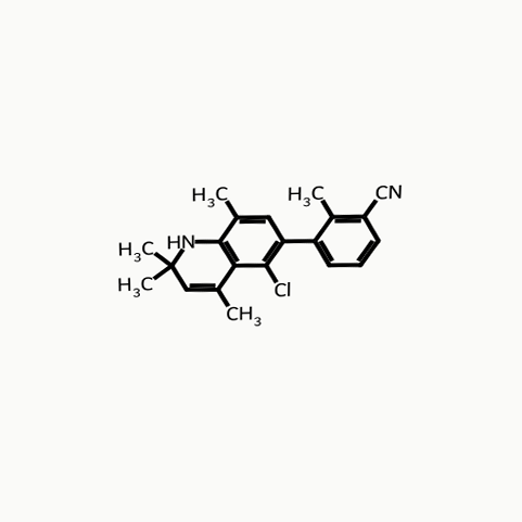 CC1=CC(C)(C)Nc2c(C)cc(-c3cccc(C#N)c3C)c(Cl)c21